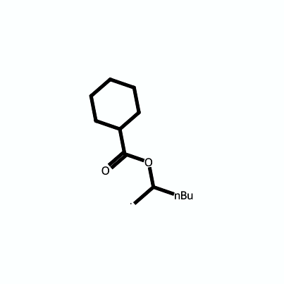 [CH2]C(CCCC)OC(=O)C1CCCCC1